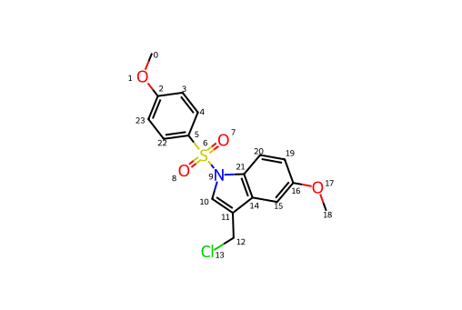 COc1ccc(S(=O)(=O)n2cc(CCl)c3cc(OC)ccc32)cc1